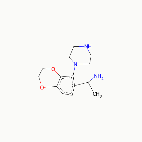 CC(N)c1ccc2c(c1N1CCNCC1)OCCO2